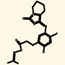 CC(C)=NOC(=O)CSc1cc(N=c2sc(=O)n3n2CCCC3)c(F)cc1Cl